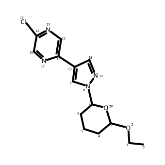 CCOC1CCCC(n2cc(-c3cnc(Cl)cn3)cn2)O1